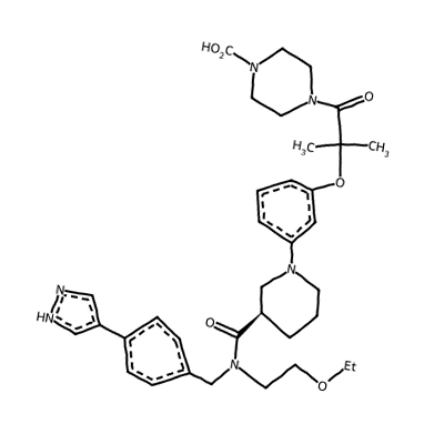 CCOCCN(Cc1ccc(-c2cn[nH]c2)cc1)C(=O)[C@@H]1CCCN(c2cccc(OC(C)(C)C(=O)N3CCN(C(=O)O)CC3)c2)C1